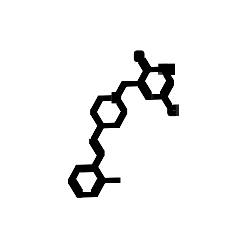 Cc1ccccc1C=CC1CCN(Cc2cc(Cl)c[nH]c2=O)CC1